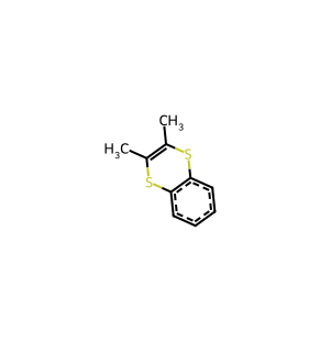 CC1=C(C)Sc2ccccc2S1